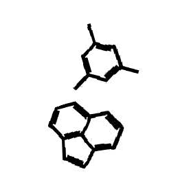 C1=Cc2cccc3cccc1c23.Cc1cc(C)cc(C)c1